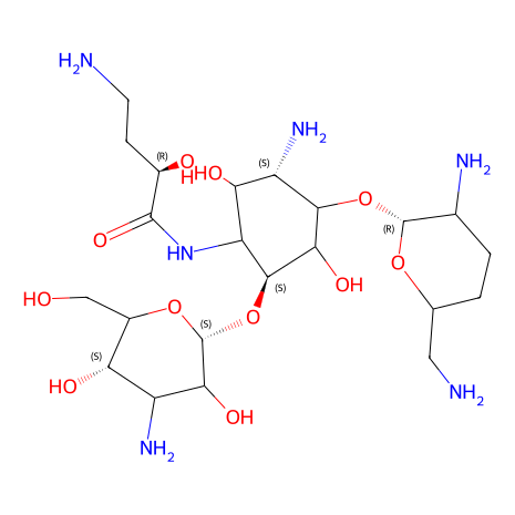 NCC[C@@H](O)C(=O)NC1C(O)[C@H](N)C(O[C@H]2OC(CN)CCC2N)C(O)[C@H]1O[C@H]1OC(CO)[C@@H](O)C(N)C1O